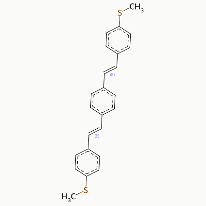 CSc1ccc(/C=C/c2ccc(/C=C/c3ccc(SC)cc3)cc2)cc1